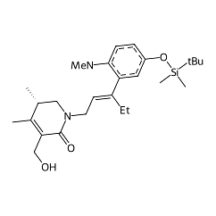 CC/C(=C\CN1C[C@@H](C)C(C)=C(CO)C1=O)c1cc(O[Si](C)(C)C(C)(C)C)ccc1NC